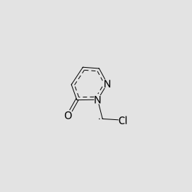 O=c1cccnn1[CH]Cl